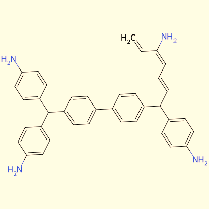 C=C/C(N)=C\C=C\C(c1ccc(N)cc1)c1ccc(-c2ccc(C(c3ccc(N)cc3)c3ccc(N)cc3)cc2)cc1